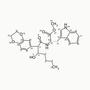 CCCCC(O)C(C(=O)N[C@@H](Cc1c[nH]c2ccccc12)C(=O)OC)c1ccc2c(c1)OCCO2